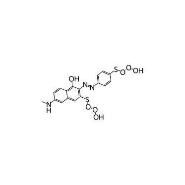 CNc1ccc2c(O)c(/N=N/c3ccc(SOOO)cc3)c(SOOO)cc2c1